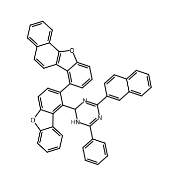 c1ccc(C2=NC(c3ccc4ccccc4c3)=NC(c3c(-c4cccc5oc6c7ccccc7ccc6c45)ccc4oc5ccccc5c34)N2)cc1